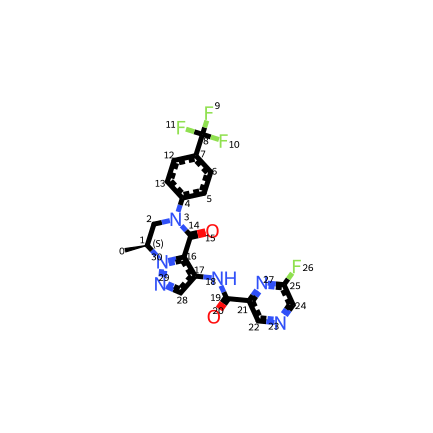 C[C@H]1CN(c2ccc(C(F)(F)F)cc2)C(=O)c2c(NC(=O)c3cncc(F)n3)cnn21